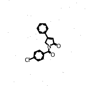 O=C1C=C(c2ccccc2)CN1C(=O)c1ccc(Cl)cc1